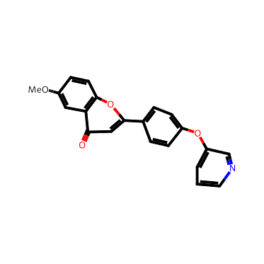 COc1ccc2oc(-c3ccc(Oc4cccnc4)cc3)cc(=O)c2c1